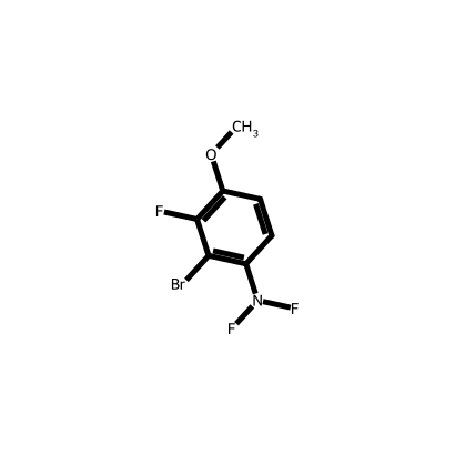 COc1ccc(N(F)F)c(Br)c1F